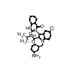 CC(C)NC(=O)c1c(-n2c(=O)[nH]c3ccccc3c2=O)c2cc(Cl)ccc2n1Cc1cccc(N)c1